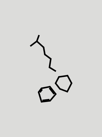 C1CCCCC1.CCCCCC(C)C.c1ccccc1